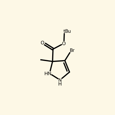 CC(C)(C)OC(=O)C1(C)NNC=C1Br